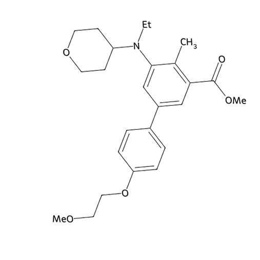 CCN(c1cc(-c2ccc(OCCOC)cc2)cc(C(=O)OC)c1C)C1CCOCC1